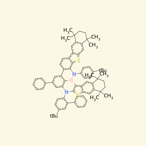 CC(C)(C)c1ccc(N2B3c4c(cc(-c5ccccc5)cc4N(c4ccc(C(C)(C)C)cc4-c4ccccc4)c4sc5cc6c(cc5c43)C(C)(C)CCC6(C)C)-c3ccc4c(sc5cc6c(cc54)C(C)(C)CCC6(C)C)c32)cc1